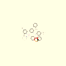 CC(C)(C)c1ccc(N2c3c4c(cc5c3C(C)(C)c3ccccc3-5)-c3cc(C(C)(C)C)cc5c3N(B4c3ccc4sc6ccccc6c4c32)C2(C)CCCCC52C)c(-c2ccccc2)c1